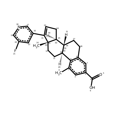 Cc1cc(C(=O)O)cc2c1[C@H]1CC[C@]3(C)C(c4cncc(F)c4)=CC[C@H]3[C@@H]1CC2